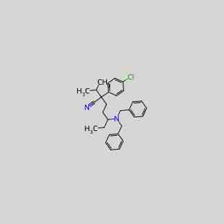 CCC(CCC(C#N)(c1ccc(Cl)cc1)C(C)C)N(Cc1ccccc1)Cc1ccccc1